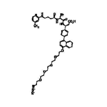 Cc1ccnc(NCCCC(=O)N[C@H](C(=O)N[C@@H](CC(=O)O)c2ccc(-c3ccc(OCCOCCOCCOCCOCCN=[N+]=[N-])c4ccccc34)cc2)C(C)C)c1